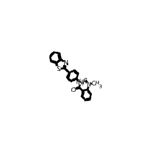 CN(C)c1ccccc1C(=O)Nc1ccc(-c2nc3ccccc3s2)cc1